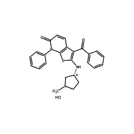 CN1CC[C@@H](Nc2sc3c(ccc(=O)n3-c3ccccc3)c2C(=O)c2ccccc2)C1.Cl